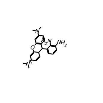 CN(C)c1ccc2c(c1)OC1=CC(=[N+](C)C)C=CC1C2c1cccc(N)c1N